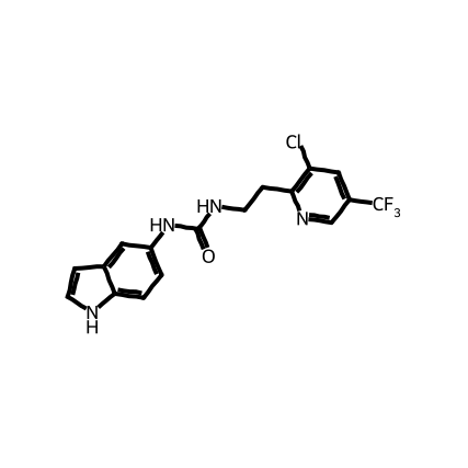 O=C(NCCc1ncc(C(F)(F)F)cc1Cl)Nc1ccc2[nH]ccc2c1